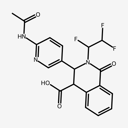 CC(=O)Nc1ccc(C2C(C(=O)O)c3ccccc3C(=O)N2C(F)C(F)F)cn1